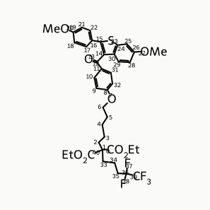 CCOC(=O)C(CCCCCOc1ccc(C(=O)c2c(-c3ccc(OC)cc3)sc3cc(OC)ccc23)cc1)(CCCC(F)(F)C(F)(F)F)C(=O)OCC